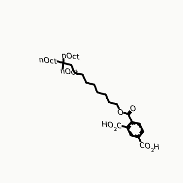 CCCCCCCCC(CCCCCCCC)(CCCCCCCC)CCCCCCCCCOC(=O)c1ccc(C(=O)O)cc1C(=O)O